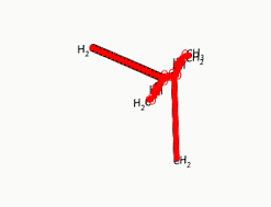 C=C=C=C=C=C=C=C=C=C=C=C=C=C=C=C=C=C=C=C=C=C=C=C=C=C=C=C=C=C=C=C=C=C=C=C(C(=O)OCOC(=O)C(=C=C=C=C=C=C=C=C=C=C=C=C=C=C=C=C=C=C=C=C=C=C=C=C=C=C=C=C=C=C=C=C=C=C=C)C(=O)OCC1CC2CC1[C@@H]1CC(COC(=O)C(=C)C)C[C@H]21)C(=O)OCC1CC2CC1[C@H]1CC(COC(=O)C=C)C[C@@H]21